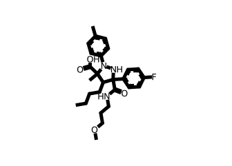 CCCCC1C(C(=O)NCCCOC)(c2ccc(F)cc2)NN(c2ccc(C)cc2)C1(C)C(=O)O